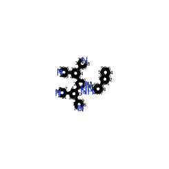 N=C1C(c2cc(-c3ccncc3)cc(-c3ccncc3)c2)=CC(c2cc(-c3ccncc3)cc(-c3ccncc3)c2)=C/C1=N/Nc1cccc(-c2ccc3ccccc3c2)c1